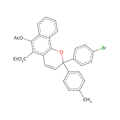 CCOC(=O)c1c2c(c3ccccc3c1OC(C)=O)OC(c1ccc(C)cc1)(c1ccc(Br)cc1)C=C2